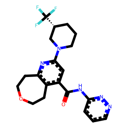 O=C(Nc1cccnn1)c1cc(N2CCC[C@@H](C(F)(F)F)C2)nc2c1CCOCC2